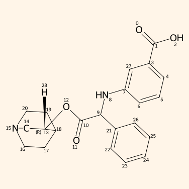 O=C(O)c1cccc(NC(C(=O)O[C@H]2CN3CCC2CC3)c2ccccc2)c1